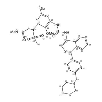 CNC(=O)CN(c1cc(C(C)(C)C)cc(NC(=O)Nc2ccc(-c3ccc(CN4CCOCC4)nc3)c3ccccc23)c1OC)S(C)(=O)=O